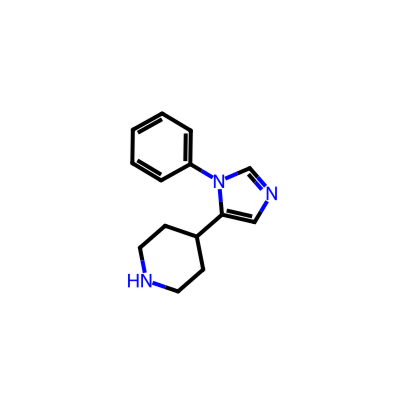 c1ccc(-n2cncc2C2CCNCC2)cc1